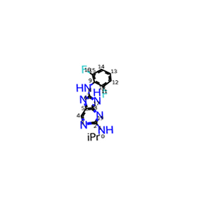 CC(C)Nc1ncc2nc(Nc3c(F)cccc3F)[nH]c2n1